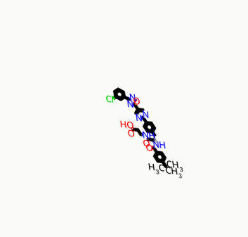 CC(C)(C)c1ccc(C(=O)N[C@@H](Cc2ccc(-c3ncc(-c4nc(-c5cccc(Cl)c5)no4)cn3)cc2)C(=O)NCCC(=O)O)cc1